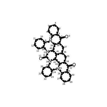 O=c1c2ccccc2n2c3ccccc3n3c(=O)n4c5ccccc5n5c6ccccc6c(=O)c6cc7cc1c2c3c7c4c65